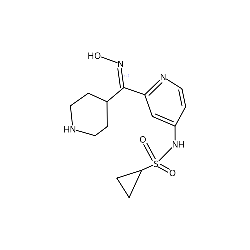 O=S(=O)(Nc1ccnc(/C(=N/O)C2CCNCC2)c1)C1CC1